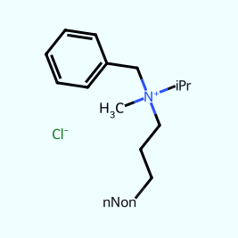 CCCCCCCCCCCC[N+](C)(Cc1ccccc1)C(C)C.[Cl-]